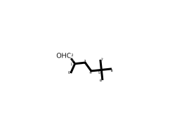 CC(C=O)CCC(C)(C)C